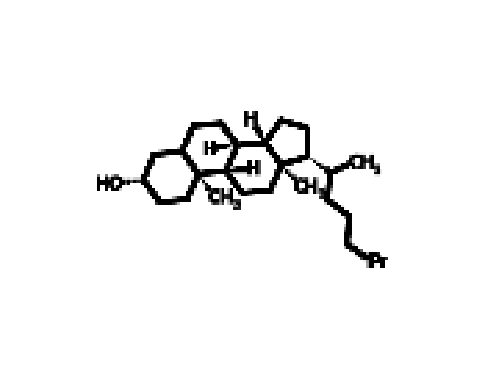 CC(C)CCCC(C)[C@H]1CC[C@H]2[C@@H]3CCC4C[C@@H](O)CC[C@]4(C)[C@H]3CC[C@]12C